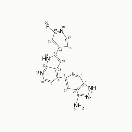 Nc1n[nH]c2ccc(-c3ccnc4[nH]c(-c5ccnc(F)c5)cc34)cc12